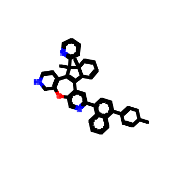 CC1C=CC(c2ccc(-c3cc4c(cn3)OC3=C(C=CNC3)C3=C4C4C=CC=CC4(C)C3(C)c3ccccn3)c3ccccc23)=CC1